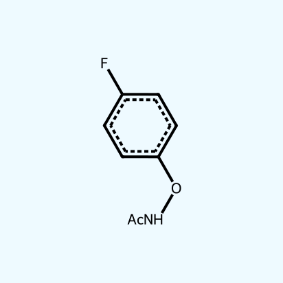 CC(=O)NOc1ccc(F)cc1